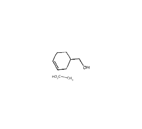 CC(=O)O.OCC1CC=CCC1